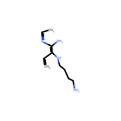 C=C/C(NCCCCN)=C(N)\N=C/C